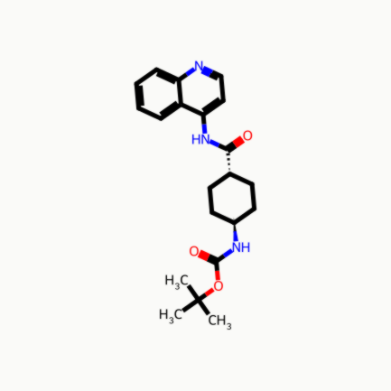 CC(C)(C)OC(=O)N[C@H]1CC[C@H](C(=O)Nc2ccnc3ccccc23)CC1